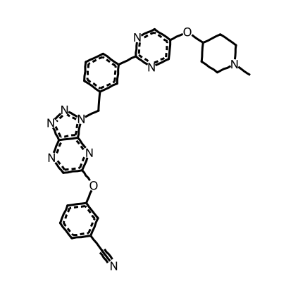 CN1CCC(Oc2cnc(-c3cccc(Cn4nnc5ncc(Oc6cccc(C#N)c6)nc54)c3)nc2)CC1